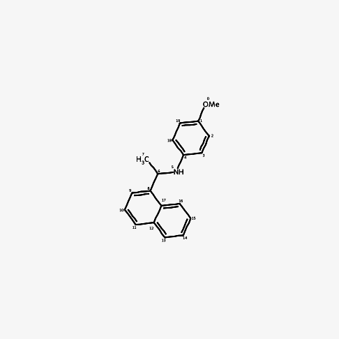 COc1ccc(NC(C)c2cccc3ccccc23)cc1